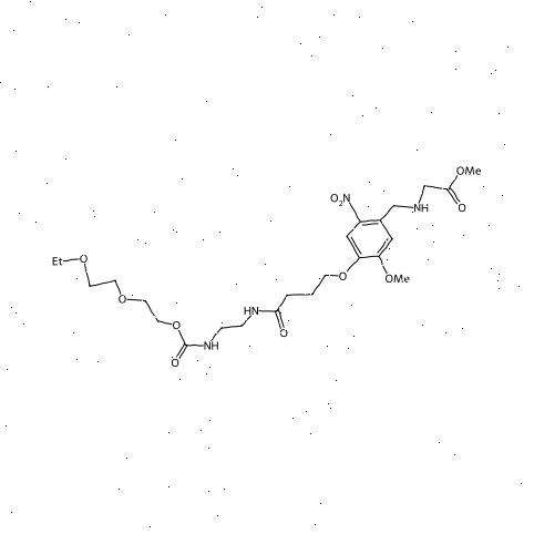 CCOCCOCCOC(=O)NCCNC(=O)CCCOc1cc([N+](=O)[O-])c(CNCC(=O)OC)cc1OC